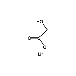 O=S([O-])CO.[Li+]